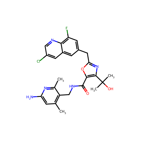 Cc1cc(N)nc(C)c1CNC(=O)c1oc(Cc2cc(F)c3ncc(Cl)cc3c2)nc1C(C)(C)O